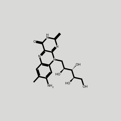 C=c1nc2c(c(=O)[nH]1)=Nc1cc(C)c(N)cc1N2C[C@H](O)[C@H](O)[C@H](O)CO